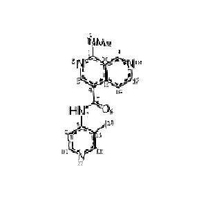 CNc1ncc(C(=O)Nc2ccncc2I)c2ccncc12